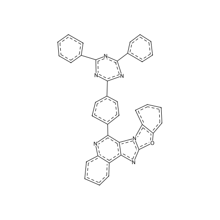 c1ccc(-c2nc(-c3ccccc3)nc(-c3ccc(-c4nc5ccccc5c5nc6oc7ccccc7n6c45)cc3)n2)cc1